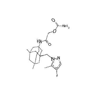 Cc1c(I)cnn1CC12CC3(C)CC(C)(C1)CC(NC(=O)COC(N)=O)(C3)C2